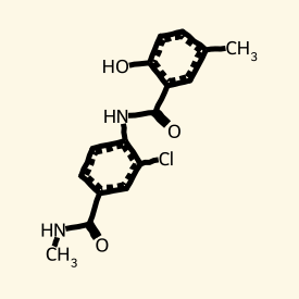 CNC(=O)c1ccc(NC(=O)c2cc(C)ccc2O)c(Cl)c1